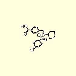 O=C(O)c1ccc(CN(C2CCCCC2)S(=O)(=O)c2ccc(Cl)cc2)cc1